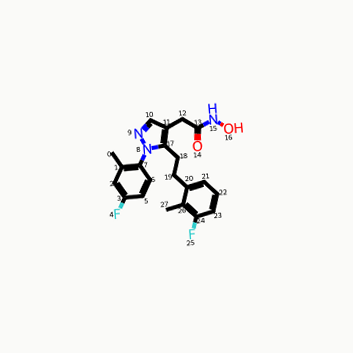 Cc1cc(F)ccc1-n1ncc(CC(=O)NO)c1CCc1cccc(F)c1C